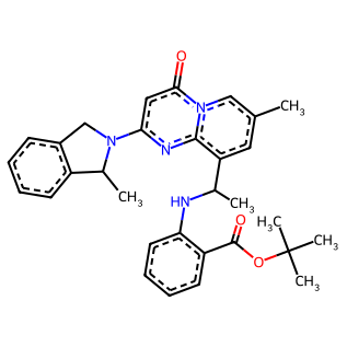 Cc1cc(C(C)Nc2ccccc2C(=O)OC(C)(C)C)c2nc(N3Cc4ccccc4C3C)cc(=O)n2c1